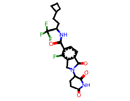 O=C1CCC(N2Cc3c(ccc(C(=O)NC(CCC4CCC4)C(F)(F)F)c3F)C2=O)C(=O)N1